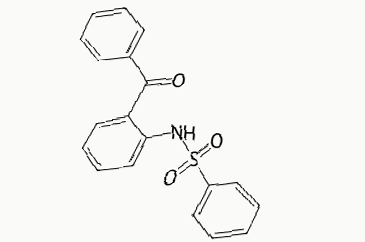 O=C(c1ccccc1)c1ccccc1NS(=O)(=O)c1ccccc1